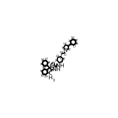 C[C@H](NC(=O)N[C@H]1CC[C@H](CCN2CCC(c3ccccc3)C2)CC1)C(C#N)(c1ccccc1)c1ccccc1